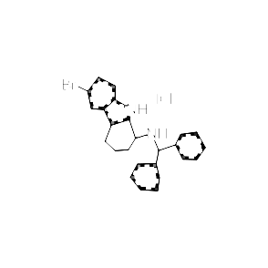 Brc1ccc2[nH]c3c(c2c1)CCCC3NC(c1ccccc1)c1ccccc1.Cl